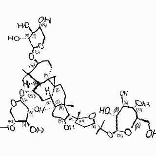 CC(C)(O[C@@H]1O[C@H](CO)[C@@H](O)[C@H](O)[C@H]1O)[C@@H]1CC[C@](C)([C@H]2[C@@H](O)C[C@@]3(C)[C@@H]4C[C@H](O[C@@H]5OC[C@@H](O)[C@H](O)[C@H]5O)[C@H]5C(C)(C)[C@@H](O[C@@H]6OC[C@@H](O)[C@H](O)[C@H]6O)CC[C@@]56C[C@@]46CC[C@]23C)O1